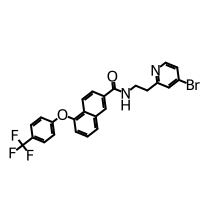 O=C(NCCc1cc(Br)ccn1)c1ccc2c(Oc3ccc(C(F)(F)F)cc3)cccc2c1